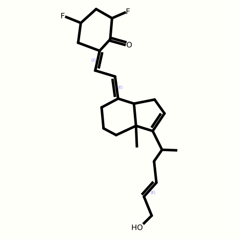 CC(C/C=C/CO)C1=CCC2/C(=C/C=C3/CC(F)CC(F)C3=O)CCCC12C